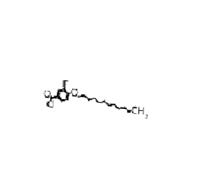 CCCCCCCCCCCCOc1ccc(C(=O)Cl)cc1F